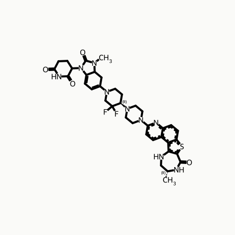 C[C@@H]1CNc2c(sc3ccc4nc(N5CCN([C@@H]6CCN(C7=CC=C8C(C7)N(C)C(=O)N8C7CCC(=O)NC7=O)CC6(F)F)CC5)ccc4c23)C(=O)N1